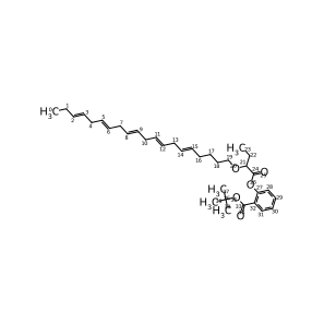 CCC=CCC=CCC=CCC=CCC=CCCCCOC(CC)C(=O)Oc1ccccc1C(=O)OC(C)(C)C